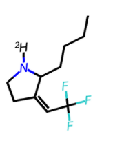 [2H]N1CC/C(=C/C(F)(F)F)C1CCCC